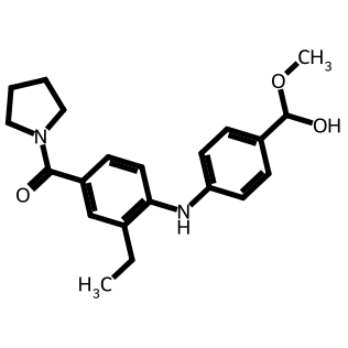 CCc1cc(C(=O)N2CCCC2)ccc1Nc1ccc(C(O)OC)cc1